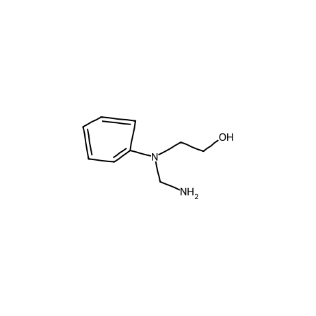 NCN(CCO)c1ccccc1